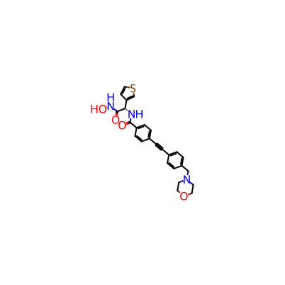 O=C(N[C@H](C(=O)NO)c1ccsc1)c1ccc(C#Cc2ccc(CN3CCOCC3)cc2)cc1